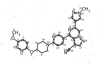 COc1ccc(OC2CCN(c3ccc(-c4nc(-c5cnn(C)c5)cn5ncc(C#N)c45)cn3)CC2)nn1